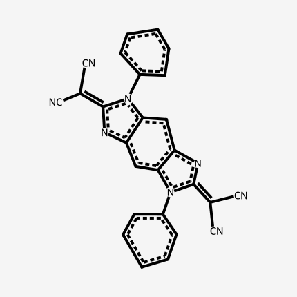 N#CC(C#N)=c1nc2cc3c(cc2n1-c1ccccc1)nc(=C(C#N)C#N)n3-c1ccccc1